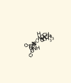 CC(C)(C)OC(=O)N[C@H]1CC[C@H](n2cc(NC(=O)OCc3ccccc3)c(OCc3ccccc3)n2)CC1